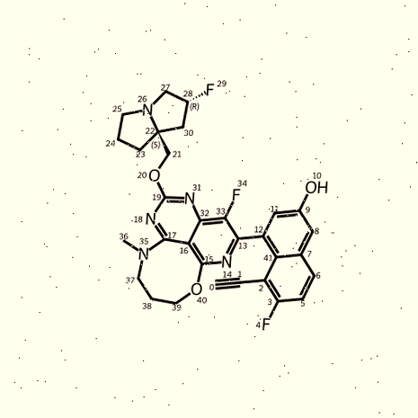 C#Cc1c(F)ccc2cc(O)cc(-c3nc4c5c(nc(OC[C@@]67CCCN6C[C@H](F)C7)nc5c3F)N(C)CCCO4)c12